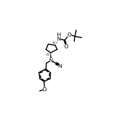 COc1ccc(CN(C#N)[C@H]2CC[C@H](NC(=O)OC(C)(C)C)C2)cc1